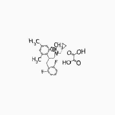 CON(CC1CC1)CC(Cc1c(F)cccc1F)c1c(C)cc(C)cc1C.O=C(O)C(=O)O